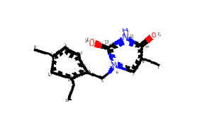 Cc1ccc(Cn2cc(C)c(=O)[nH]c2=O)c(C)c1